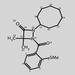 CSc1ccccc1C(=O)N1N(C2CCCCCCC2)C(=O)C1(C)C